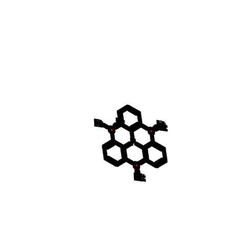 CCOc1cccc(OCC)c1P(c1c(OCC)cccc1OCC)c1c(OCC)cccc1OCC